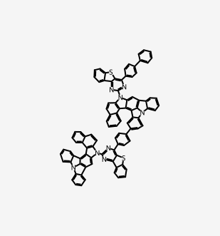 c1ccc(-c2ccc(-c3nc(-n4c5ccc6ccccc6c5c5c6c7cc(-c8ccc(-c9nc(-n%10c%11ccc%12ccccc%12c%11c%11c%12c%13ccccc%13n%13c%14ccccc%14c(cc%11%10)c%12%13)nc%10c9sc9ccccc9%10)cc8)ccc7n7c8ccccc8c(cc54)c67)nc4c3sc3ccccc34)cc2)cc1